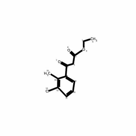 CCOC(=O)CC(=O)c1cccc(Cl)c1C